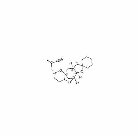 C[C@@H](C#N)C[C@H]1CCC2O[C@@H]3C[C@]2(C[C@H]2OC4(CCCCC4)O[C@@H]32)O1